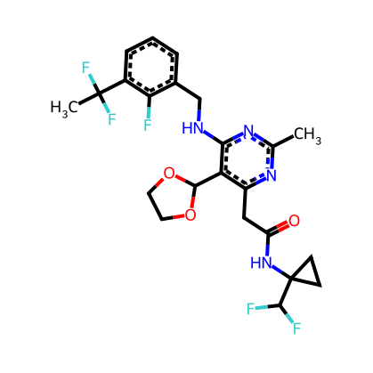 Cc1nc(CC(=O)NC2(C(F)F)CC2)c(C2OCCO2)c(NCc2cccc(C(C)(F)F)c2F)n1